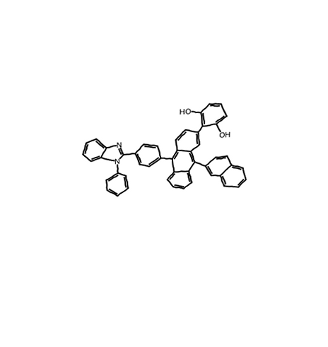 Oc1cccc(O)c1-c1ccc2c(-c3ccc(-c4nc5ccccc5n4-c4ccccc4)cc3)c3ccccc3c(-c3ccc4ccccc4c3)c2c1